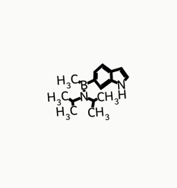 CB(c1ccc2cc[nH]c2c1)N(C(C)C)C(C)C